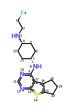 FCCN[C@H]1CC[C@H](Nc2ncnc3sc4c(c23)CCC4)CC1